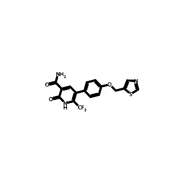 NC(=O)c1cc(-c2ccc(OCc3cncs3)cc2)c(C(F)(F)F)[nH]c1=O